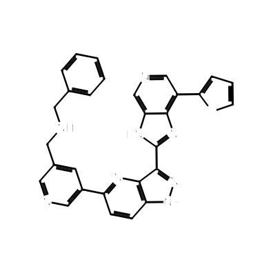 c1ccc(CNCc2cncc(-c3ccc4[nH]nc(-c5nc6c(-c7cccs7)cncc6[nH]5)c4n3)c2)cc1